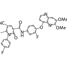 COc1cc2nccc(Oc3ccc(NC(=O)c4cc(C#N)c(C)n(-c5ccc(F)cc5)c4=O)cc3F)c2nc1OC